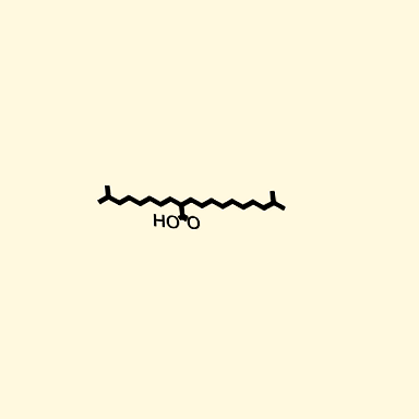 CC(C)CCCCCCCCC(CCCCCCC(C)C)C(=O)O